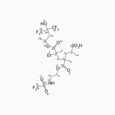 CCC(C)(CC(C)(CC(C)S(=O)(=O)O)C(=O)OCCNS(=O)(=O)C(F)(F)F)C(=O)OC(C)CC(O)(C(F)(F)F)C(F)(F)F